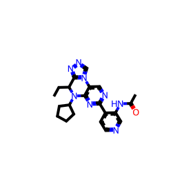 CCC1c2nncn2-c2cnc(-c3ccncc3NC(C)=O)nc2N1C1CCCC1